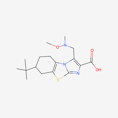 CON(C)Cc1c(C(=O)O)nc2sc3c(n12)CCC(C(C)(C)C)C3